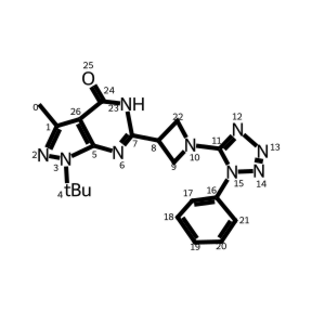 Cc1nn(C(C)(C)C)c2nc(C3CN(c4nnnn4-c4ccccc4)C3)[nH]c(=O)c12